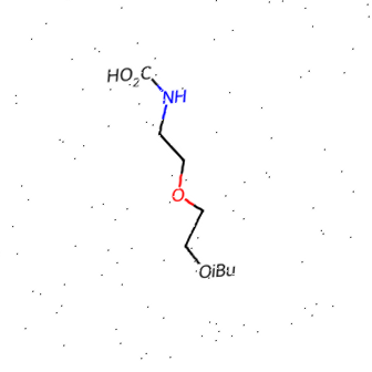 CC(C)COCCOCCNC(=O)O